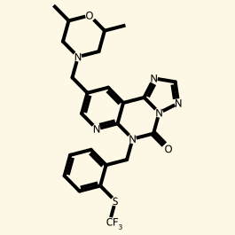 CC1CN(Cc2cnc3c(c2)c2ncnn2c(=O)n3Cc2ccccc2SC(F)(F)F)CC(C)O1